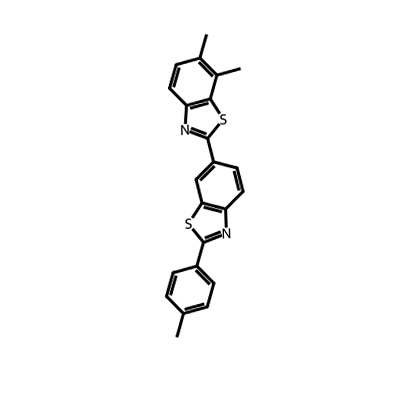 Cc1ccc(-c2nc3ccc(-c4nc5ccc(C)c(C)c5s4)cc3s2)cc1